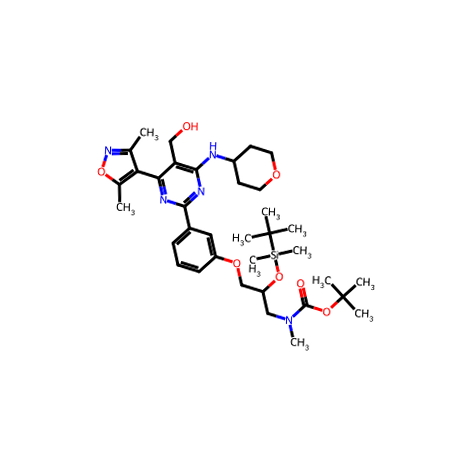 Cc1noc(C)c1-c1nc(-c2cccc(OCC(CN(C)C(=O)OC(C)(C)C)O[Si](C)(C)C(C)(C)C)c2)nc(NC2CCOCC2)c1CO